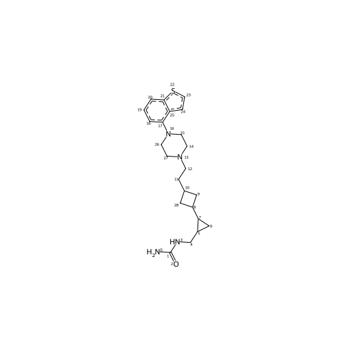 NC(=O)NCC1CC1C1CC(CCN2CCN(c3cccc4sccc34)CC2)C1